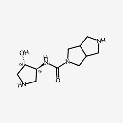 O=C(N[C@H]1CNC[C@@H]1O)N1CC2CNCC2C1